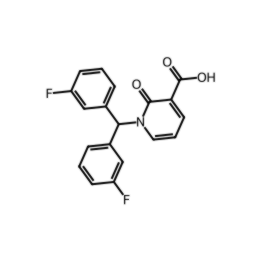 O=C(O)c1cccn(C(c2cccc(F)c2)c2cccc(F)c2)c1=O